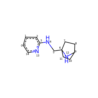 c1ccc(NCC23CCC(CC2)N3)nc1